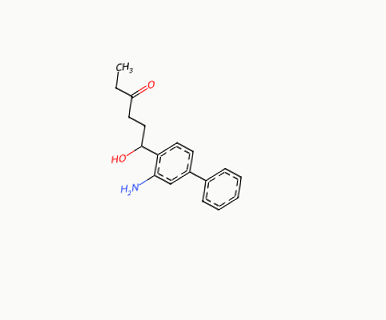 CCC(=O)CCC(O)c1ccc(-c2ccccc2)cc1N